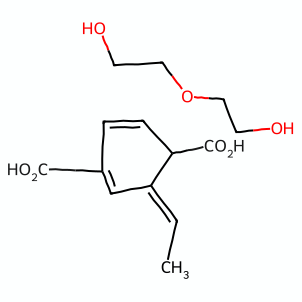 CC=C1C=C(C(=O)O)C=CC1C(=O)O.OCCOCCO